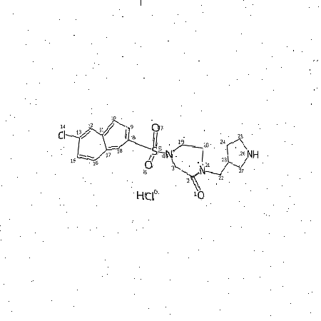 Cl.O=C1CN(S(=O)(=O)c2ccc3cc(Cl)ccc3c2)CCN1CC1CCNC1